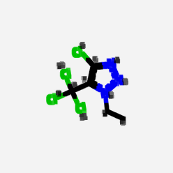 CCn1nnc(Cl)c1C(Cl)(Cl)Cl